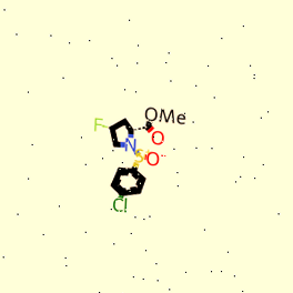 COC(=O)[C@H]1C[C@@H](F)CN1[S+]([O-])c1ccc(Cl)cc1